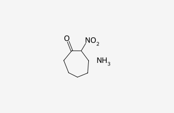 N.O=C1CCCCCC1[N+](=O)[O-]